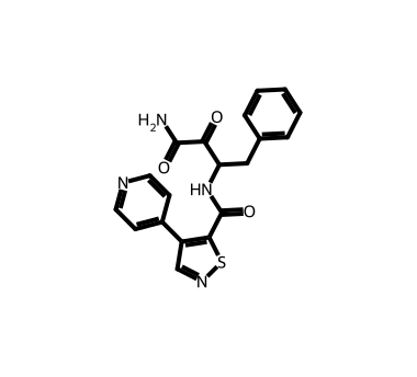 NC(=O)C(=O)C(Cc1ccccc1)NC(=O)c1sncc1-c1ccncc1